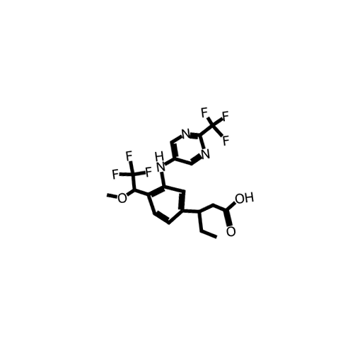 CCC(CC(=O)O)c1ccc(C(OC)C(F)(F)F)c(Nc2cnc(C(F)(F)F)nc2)c1